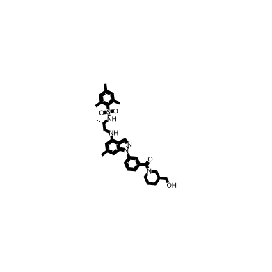 Cc1cc(C)c(S(=O)(=O)N[C@@H](C)CNc2cc(C)cc3c2cnn3-c2cccc(C(=O)N3CCCC(CO)C3)c2)c(C)c1